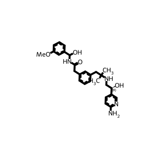 COc1cccc(C(O)NC(=O)Cc2cccc(CC(C)(C)NC[C@H](O)c3ccc(N)nc3)c2)c1